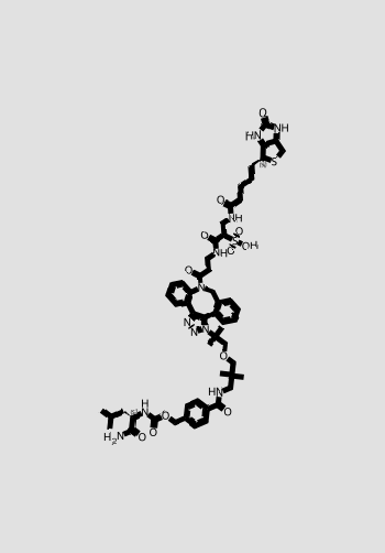 CC(C)C[C@H](NC(=O)OCc1ccc(C(=O)NCC(C)(C)COCC(C)(C)n2nnc3c2-c2ccccc2CN(C(=O)CCNC(=O)C(CNC(=O)CCCC[C@@H]2SCC4NC(=O)NC42)S(=O)(=O)O)c2ccccc2-3)cc1)C(N)=O